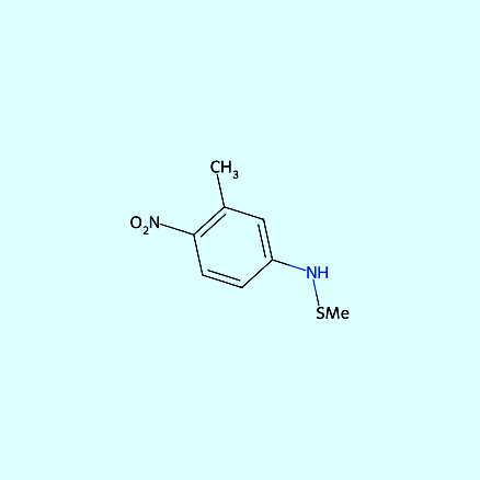 CSNc1ccc([N+](=O)[O-])c(C)c1